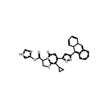 O=C(Oc1c[nH]cn1)C1CSc2c(C3CC3)c(-c3cc(C4=c5ccccc5=CC5C=CC=CC45)no3)cc(=O)n21